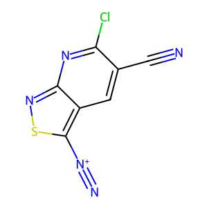 N#Cc1cc2c([N+]#N)snc2nc1Cl